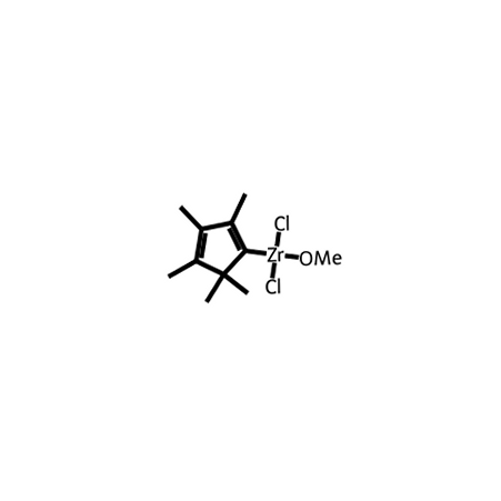 C[O][Zr]([Cl])([Cl])[C]1=C(C)C(C)=C(C)C1(C)C